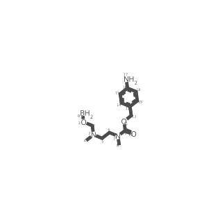 BOCN(C)CCN(C)C(=O)OCc1ccc(N)cc1